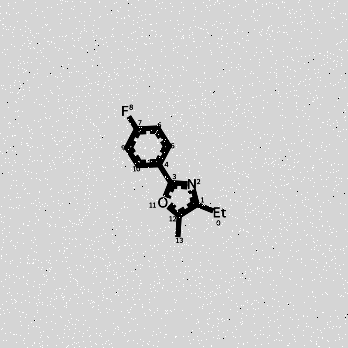 CCc1nc(-c2ccc(F)cc2)oc1C